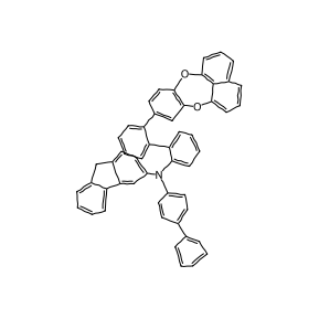 c1ccc(-c2ccc(N(c3ccc4c(c3)-c3ccccc3C4)c3ccccc3-c3ccccc3-c3ccc4c(c3)Oc3cccc5cccc(c35)O4)cc2)cc1